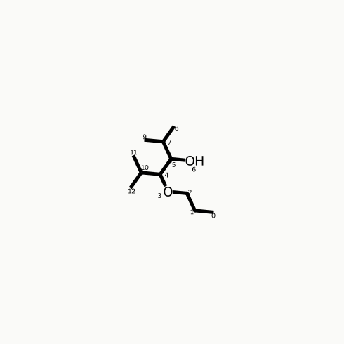 CCCOC([C](O)C(C)C)C(C)C